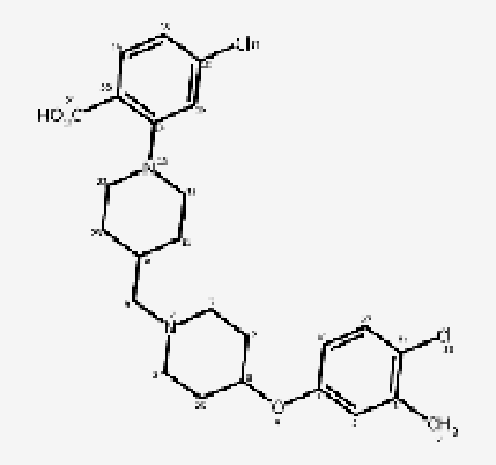 Cc1cc(OC2CCN(CC3CCN(c4cc(Cl)ccc4C(=O)O)CC3)CC2)ccc1Cl